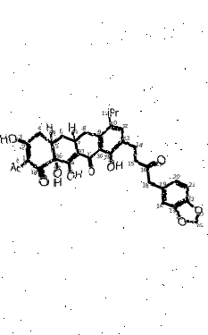 CC(=O)C1=C(O)C[C@@H]2C[C@@H]3Cc4c(C(C)C)cc(CCC(=O)Cc5ccc6c(c5)OCO6)c(O)c4C(=O)C3=C(O)[C@]2(O)C1=O